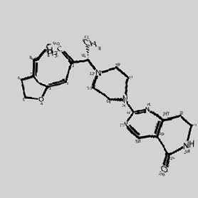 C=C(/C=C1/OCC/C1=C/C)[C@H](C)N1CCN(c2ncc3c(n2)CCNC3=O)CC1